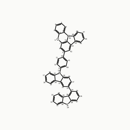 c1ccc2c(c1)Oc1cc(-c3ccc(-n4c5ccccc5c5cc(-c6cccc7sc8ccccc8c67)ccc54)cc3)cc3c4ccccc4n-2c13